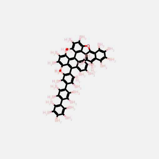 Bc1c(B)c(B)c(-c2c(B)c(B)c(-c3c(B)c(B)c(-c4c5c(B)c(B)c(B)c(B)c5c(-c5c(B)c(B)c(B)c6oc7c8c(B)c(B)c(B)c(B)c8c(B)c(B)c7c56)c5c(B)c(B)c(B)c(B)c45)c(B)c3B)c(B)c2B)c(B)c1B